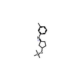 Cc1cccc(/N=C2\CCC(S[Si](C)(C)C)C2)c1